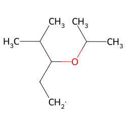 [CH2]CC(OC(C)C)C(C)C